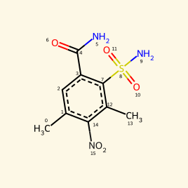 Cc1cc(C(N)=O)c(S(N)(=O)=O)c(C)c1[N+](=O)[O-]